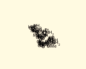 CCC1=C(N)c2ncn([C@@H]3OC(CSP(=O)(O)OP(=O)(O)OP(=O)(O)OC[C@H]4O[C@@H](n5c[n+](C)c6c(=O)[nH]c(N)nc65)[C@H](O)[C@@H]4COC)[C@@H](OP(=O)([O-])OC[C@H]4O[C@@H](n5cnc6c(=O)[nH]c(N)nc65)[C@H](O)[C@@H]4O)[C@H]3OC)c2N=CC1